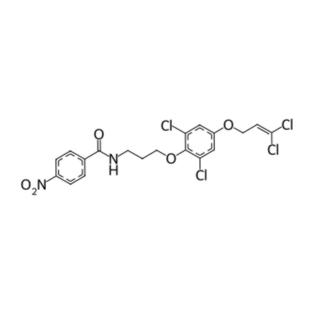 O=C(NCCCOc1c(Cl)cc(OCC=C(Cl)Cl)cc1Cl)c1ccc([N+](=O)[O-])cc1